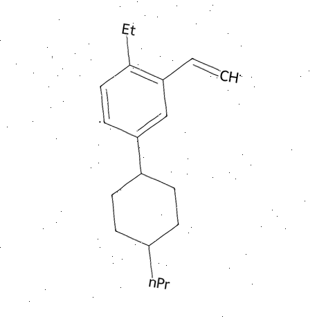 [CH]=Cc1cc(C2CCC(CCC)CC2)[c]cc1CC